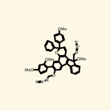 COc1ccc(C2(c3ccccc3)C=Cc3c4c(c5cc(OCN=[N+]=[N-])c(-c6ccc(OC)cc6OC)cc5c3O2)-c2ccccc2C4(CN=[N+]=[N-])OC)cc1